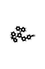 CC1(C)c2ccccc2N(c2cc(-c3cccc(-c4ccc(C#N)cc4)c3)cc(-n3c4ccccc4c4ccccc43)c2)c2ccccc21